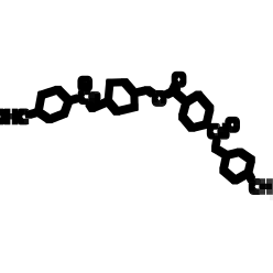 CC1CCC([CH2][Co](=[O])[CH]2CCC(C(=O)OCC3CCC([CH2][Co](=[O])[CH]4CCC(C=O)CC4)CC3)CC2)CC1